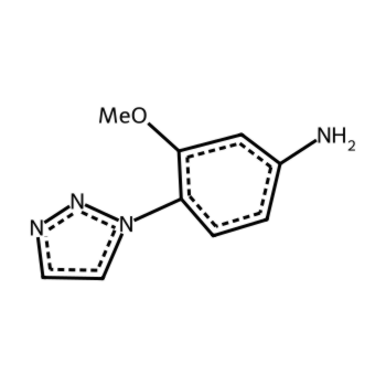 COc1cc(N)ccc1-n1ccnn1